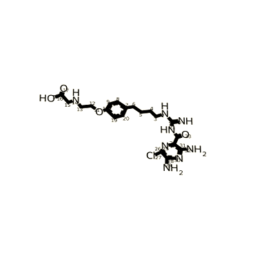 N=C(NCCCCc1ccc(OCCNCC(=O)O)cc1)NC(=O)c1nc(Cl)c(N)nc1N